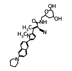 C/C(=C(/C#N)C(=O)NCC1CC(O)CC(O)O1)c1ccc(-c2ccc3cc(N4CCCCC4)ccc3c2)n1C